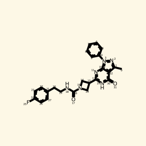 Cc1nn(-c2ccccc2)c2nc(C3CN(C(=O)NCCc4ccc(F)cc4)C3)[nH]c(=O)c12